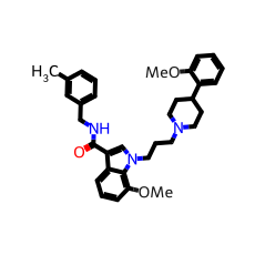 COc1ccccc1C1CCN(CCCn2cc(C(=O)NCc3cccc(C)c3)c3cccc(OC)c32)CC1